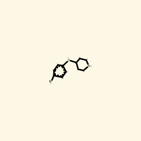 Brc1ccc(OC2CC[N]CC2)cc1